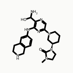 CN1CCN([C@@H]2CCCN(c3cnc(C(N)O)c(Nc4ccc5c(c4)CCNC5)n3)C2)C1=O